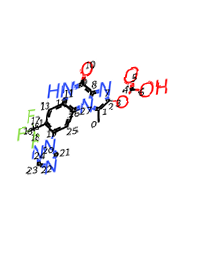 Cc1c(OC(=O)O)nc2c(=O)[nH]c3cc(C(F)(F)F)c(-n4cncn4)cc3n12